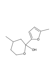 Cc1ccc(C2(O)CC(C)CCO2)o1